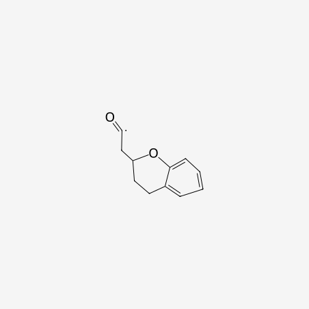 O=[C]CC1CCc2ccccc2O1